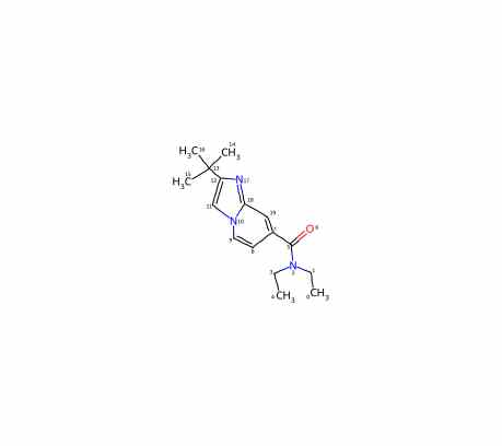 CCN(CC)C(=O)c1ccn2cc(C(C)(C)C)nc2c1